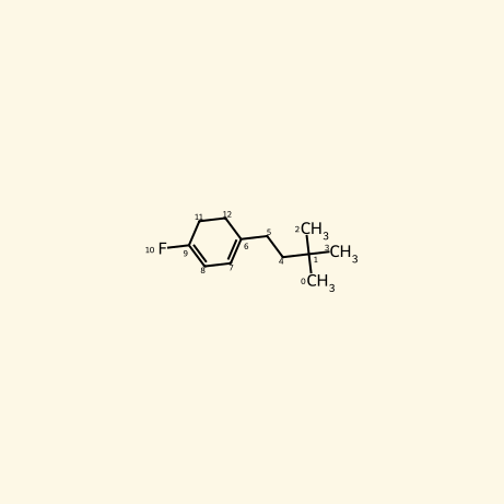 CC(C)(C)CCC1=CC=C(F)CC1